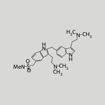 CNS(=O)(=O)Cc1ccc2[nH]c(Cc3ccc4[nH]cc(CCN(C)C)c4c3)c(CCN(C)C)c2c1